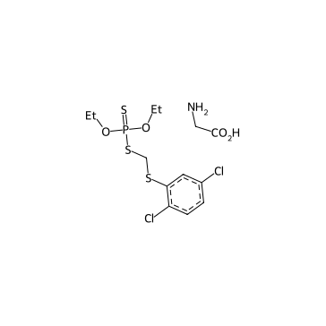 CCOP(=S)(OCC)SCSc1cc(Cl)ccc1Cl.NCC(=O)O